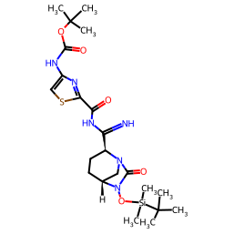 CC(C)(C)OC(=O)Nc1csc(C(=O)NC(=N)[C@@H]2CC[C@@H]3CN2C(=O)N3O[Si](C)(C)C(C)(C)C)n1